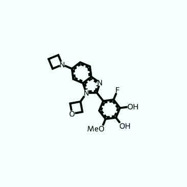 COc1cc(-c2nc3ccc(N4CCC4)cc3n2C2COC2)c(F)c(O)c1O